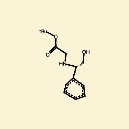 CC(C)(C)OC(=O)CN[C@H](CO)c1ccccc1